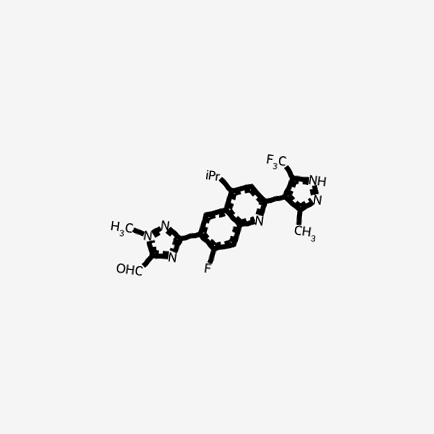 Cc1n[nH]c(C(F)(F)F)c1-c1cc(C(C)C)c2cc(-c3nc(C=O)n(C)n3)c(F)cc2n1